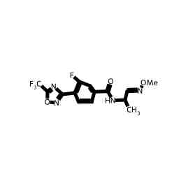 CO/N=C/C(C)NC(=O)c1ccc(-c2noc(C(F)(F)F)n2)c(F)c1